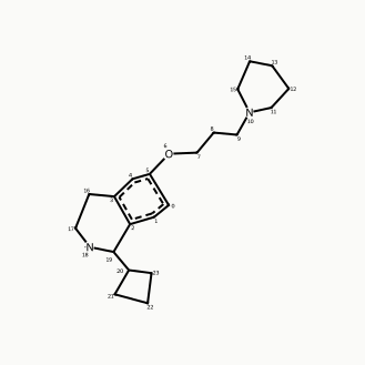 c1cc2c(cc1OCCCN1CCCCC1)CC[N]C2C1CCC1